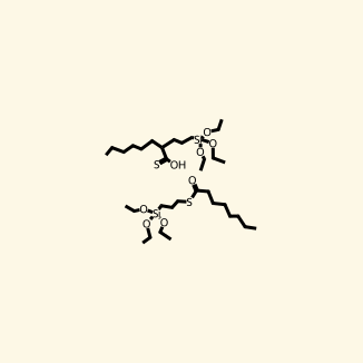 CCCCCCC(CCC[Si](OCC)(OCC)OCC)C(O)=S.CCCCCCCC(=O)SCCC[Si](OCC)(OCC)OCC